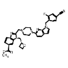 COC(=O)c1ccc2nc(CN3CCN(c4ccc5ccn(Cc6ccc(C#N)cc6F)c5n4)CC3)n(C[C@@H]3CCO3)c2c1